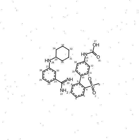 CS(=O)(=O)c1ccccc1-c1ccc(NC(=O)O)cc1.N=C(N)c1cccc(NC2CCCCC2)c1